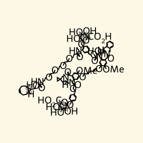 COc1cc2c(cc1OCCCCCOc1cc3c(cc1OC)C(=O)N1Cc4ccccc4C[C@H]1[C@H](O)N3C(=O)OCc1ccc(O[C@@H]3O[C@H](C(=O)O)[C@@H](O)[C@H](O)[C@H]3O)c(NC(=O)CCOCCOCCOCCOCCNC(=O)OCC3[C@H]4CCC#CCC[C@@H]34)c1)N(C(=O)OCc1ccc(O[C@@H]3O[C@H](C(=O)O)[C@@H](O)[C@H](O)[C@H]3O)cc1)C[C@@H]1CC3(CC3)CN1C2=O